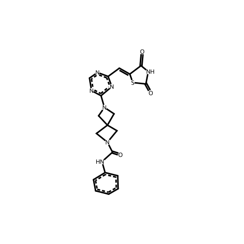 O=C1NC(=O)C(=Cc2ncnc(N3CC4(CN(C(=O)Nc5ccccc5)C4)C3)n2)S1